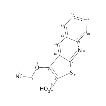 N#CCOc1c(C(=O)O)sc2nc3ccccc3cc12